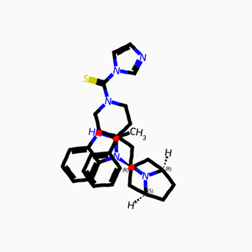 CC1Nc2ccccc2N1[C@H]1C[C@H]2CC[C@@H](C1)N2CCC1(c2ccccc2)CCN(C(=S)n2ccnc2)CC1